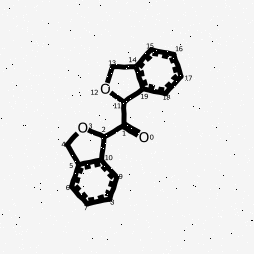 O=C(C1OCc2ccccc21)C1OCc2ccccc21